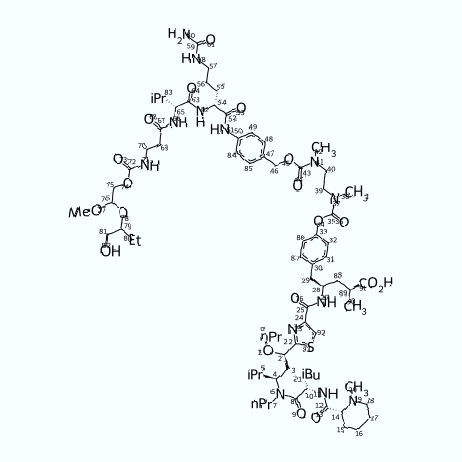 CCCO[C@H](C[C@H](C(C)C)N(CCC)C(=O)[C@@H](NC(=O)[C@H]1CCCCN1C)[C@@H](C)CC)c1nc(C(=O)N[C@@H](Cc2ccc(OC(=O)N(C)CCN(C)C(=O)OCc3ccc(NC(=O)[C@@H](CCCNC(N)=O)NC(=O)[C@H](NC(=O)CCNC(=O)OCC(OC)OC(CC)CO)C(C)C)cc3)cc2)C[C@H](C)C(=O)O)cs1